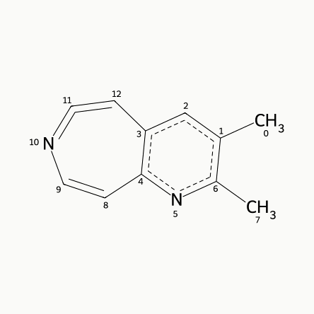 Cc1cc2c(nc1C)C=CN=C=C2